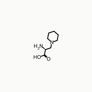 N[C@@H](CN1CCCCC1)C(=O)O